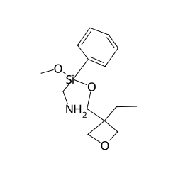 CCC1(CO[Si](CN)(OC)c2ccccc2)COC1